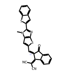 Cn1c(-c2cc3ccccc3s2)nc2sc(/C=C3\C(=O)c4ccccc4C3=C(C#N)C#N)cc21